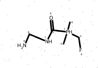 C[PH](C)(CF)C(=O)NCN